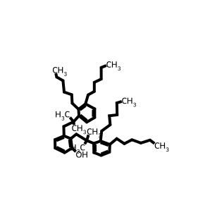 CCCCCCc1cccc(C(C)(C)Cc2cccc(O)c2CC(C)(C)c2cccc(CCCCCC)c2CCCCCC)c1CCCCCC